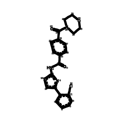 O=C(Nc1nc(-c2ccccc2Cl)cs1)c1ccc(C(=O)N2CCOCC2)cc1